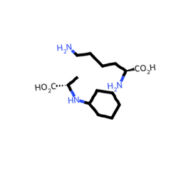 C[C@H](NC1CCCCC1)C(=O)O.NCCCC[C@H](N)C(=O)O